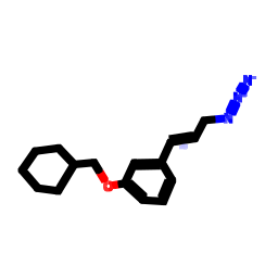 [N-]=[N+]=NC/C=C/c1cccc(OCC2CCCCC2)c1